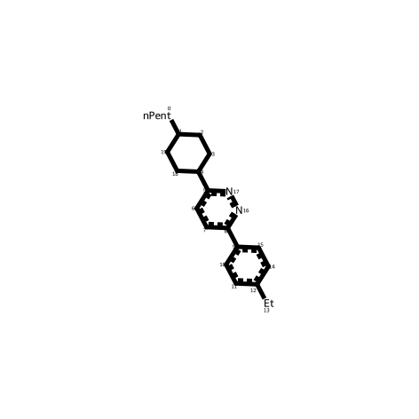 CCCCCC1CCC(c2ccc(-c3ccc(CC)cc3)nn2)CC1